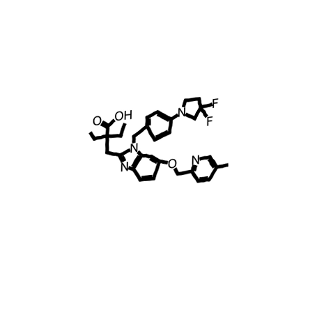 CCC(CC)(Cc1nc2ccc(OCc3ccc(C)cn3)cc2n1Cc1ccc(N2CCC(F)(F)C2)cc1)C(=O)O